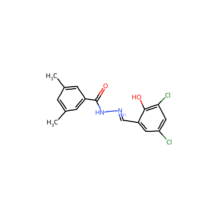 Cc1cc(C)cc(C(=O)N/N=C/c2cc(Cl)cc(Cl)c2O)c1